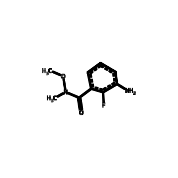 CON(C)C(=O)c1cccc(N)c1F